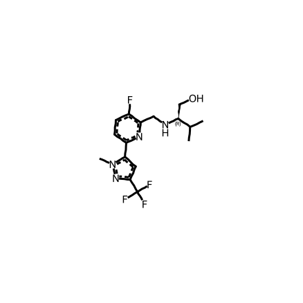 CC(C)[C@H](CO)NCc1nc(-c2cc(C(F)(F)F)nn2C)ccc1F